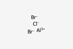 [Al+3].[Br-].[Br-].[Cl-]